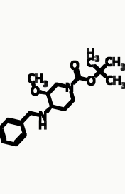 CO[C@H]1CN(C(=O)OC(C)(C)C)CC[C@H]1NCc1ccccc1